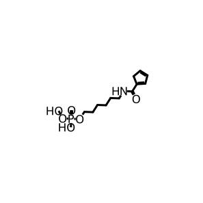 O=C(NCCCCCCOP(=O)(O)OO)C1=CC=CC1